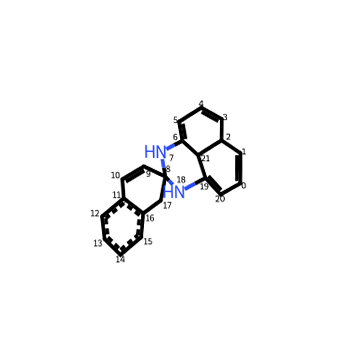 C1=CC2C=CC=C3NC4(C=Cc5ccccc5C4)NC(=C1)C32